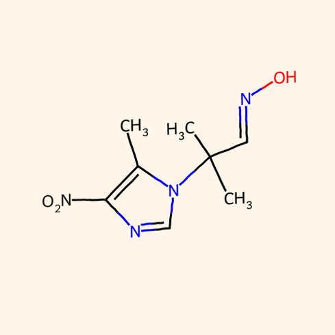 Cc1c([N+](=O)[O-])ncn1C(C)(C)C=NO